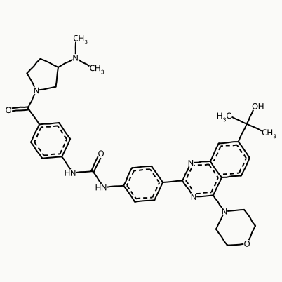 CN(C)C1CCN(C(=O)c2ccc(NC(=O)Nc3ccc(-c4nc(N5CCOCC5)c5ccc(C(C)(C)O)cc5n4)cc3)cc2)C1